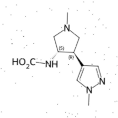 CN1C[C@@H](NC(=O)O)[C@H](c2cnn(C)c2)C1